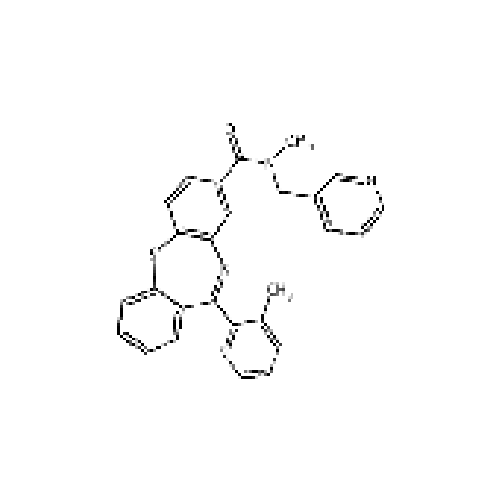 Cc1cccnc1C1=Nc2cc(C(=O)N(C)Cc3cccnc3)ccc2Sc2ccccc21